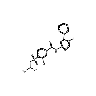 CC(O)CS(=O)(=O)c1ccc(C(=O)Nc2ccc(Cl)c(-c3ccccn3)c2)cc1Cl